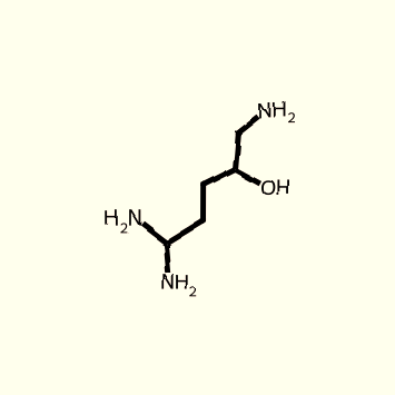 NCC(O)CCC(N)N